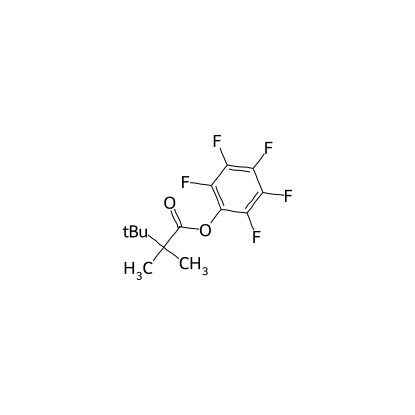 CC(C)(C)C(C)(C)C(=O)Oc1c(F)c(F)c(F)c(F)c1F